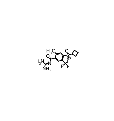 Cc1cc(S(=O)(=O)C2CCC2)c(C(F)(F)F)cc1C(=O)N=C(N)N